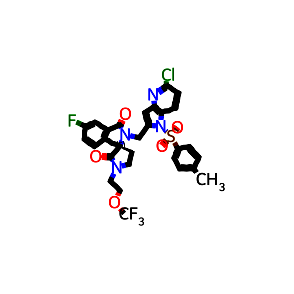 Cc1ccc(S(=O)(=O)n2c(CN3C(=O)c4cc(F)ccc4[C@]34CCN(CCOC(F)(F)F)C4=O)cc3nc(Cl)ccc32)cc1